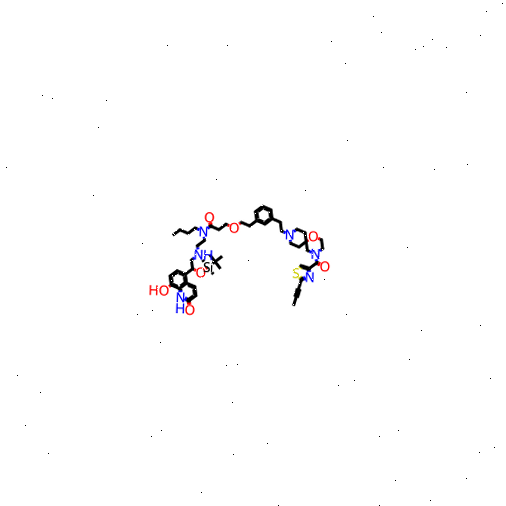 CC#Cc1nc(C(=O)N2CCOC3(CCN(CCc4cccc(CCOCCC(=O)N(CCCC)CCNCC(O[Si](C)(C)C(C)(C)C)c5ccc(O)c6[nH]c(=O)ccc56)c4)CC3)C2)cs1